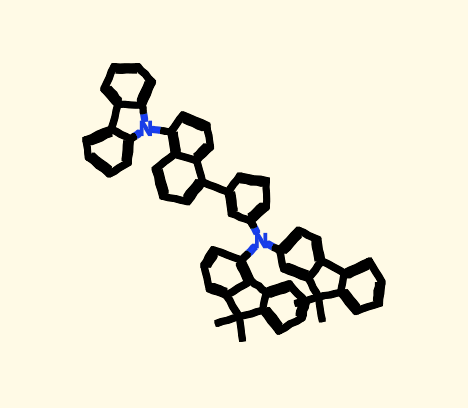 CC1(C)c2ccccc2-c2ccc(N(c3cccc(-c4cccc5c(-n6c7ccccc7c7ccccc76)cccc45)c3)c3cccc4c3-c3ccccc3C4(C)C)cc21